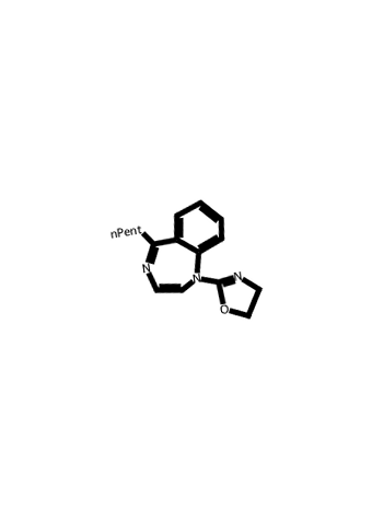 CCCCCC1=NC=CN(C2=NCCO2)c2ccccc21